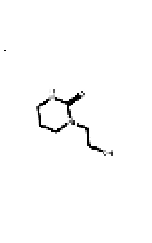 OCCN1CCCNC1=S